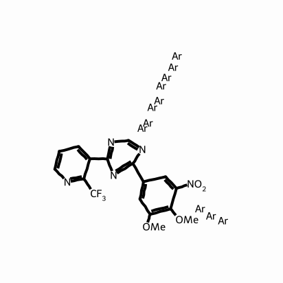 COc1cc(-c2ncnc(-c3cccnc3C(F)(F)F)n2)cc([N+](=O)[O-])c1OC.[Ar].[Ar].[Ar].[Ar].[Ar].[Ar].[Ar].[Ar].[Ar].[Ar].[Ar]